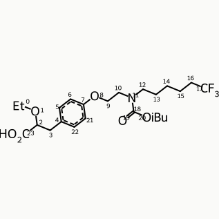 CCOC(Cc1ccc(OCCN(CCCCCC(F)(F)F)C(=O)OCC(C)C)cc1)C(=O)O